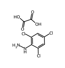 NNc1c(Cl)cc(Cl)cc1Cl.O=C(O)C(=O)O